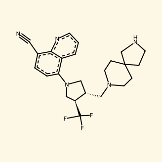 N#Cc1ccc(N2C[C@H](CN3CCC4(CCNC4)CC3)[C@@H](C(F)(F)F)C2)c2cccnc12